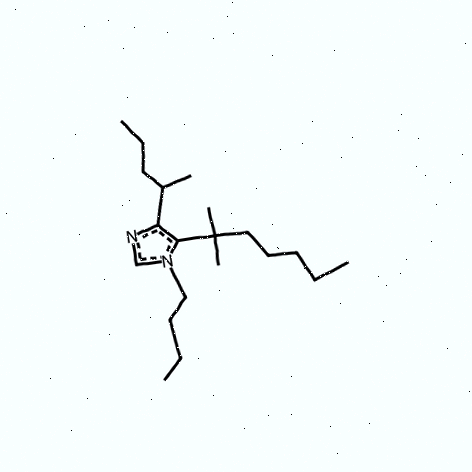 CCCCCC(C)(C)c1c(C(C)CCC)ncn1CCCC